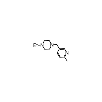 CCN1CCN(Cc2ccc(C)nc2)CC1